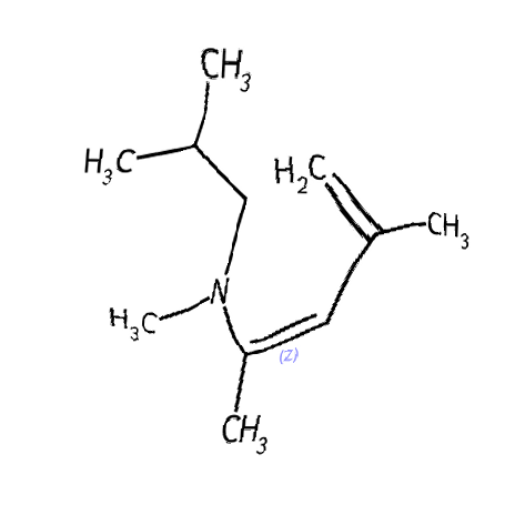 C=C(C)/C=C(/C)N(C)CC(C)C